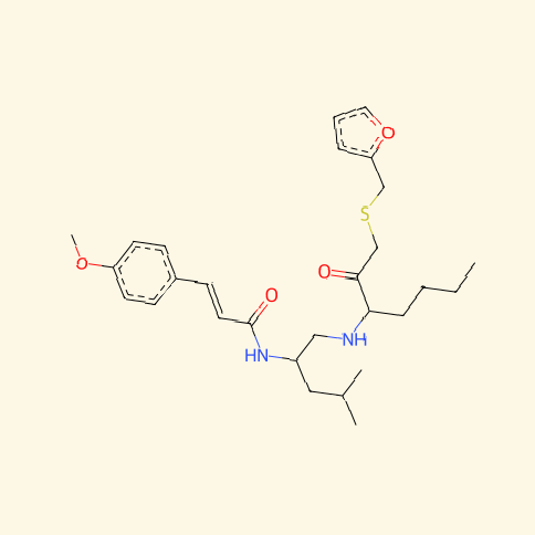 CCCCC(NCC(CC(C)C)NC(=O)/C=C/c1ccc(OC)cc1)C(=O)CSCc1ccco1